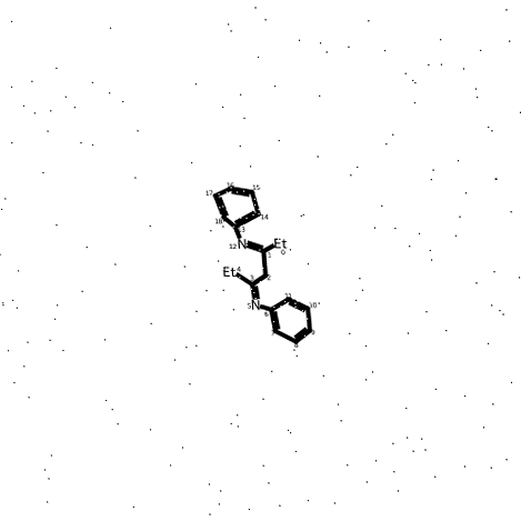 CCC(CC(CC)=Nc1ccccc1)=Nc1ccccc1